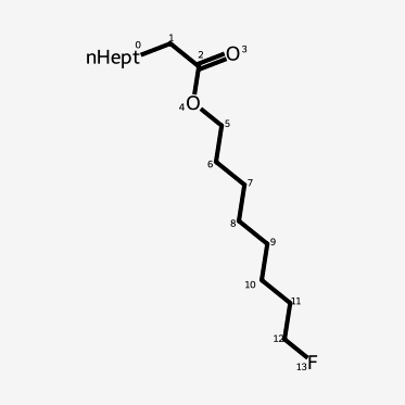 CCCCCCCCC(=O)OCCCCCCCCF